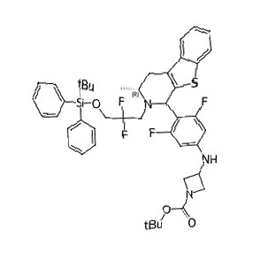 C[C@@H]1Cc2c(sc3ccccc23)C(c2c(F)cc(NC3CN(C(=O)OC(C)(C)C)C3)cc2F)N1CC(F)(F)CO[Si](c1ccccc1)(c1ccccc1)C(C)(C)C